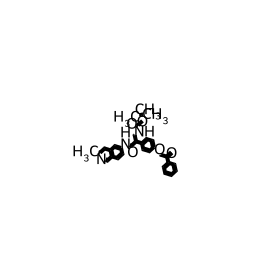 CC1Cc2cc(NC(=O)C(CNC(=O)OC(C)(C)C)c3ccc(OCC(=O)c4ccccc4)cc3)ccc2C=N1